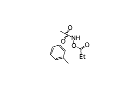 CCC(=O)ONS(C)(=O)=O.Cc1ccccc1